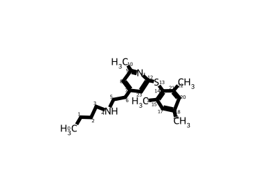 CCCCNCCc1cc(C)nc(Sc2c(C)cc(C)cc2C)c1